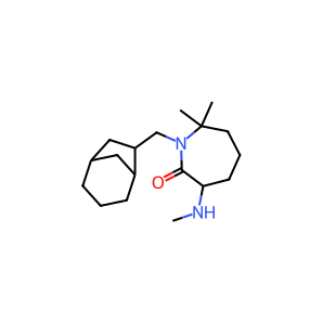 CNC1CCCC(C)(C)N(CC2CC3CCCC2C3)C1=O